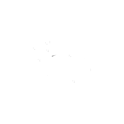 CC1=CCN(C(=O)c2ccncc2Cl)C[C@H]1c1cc(C(F)F)nc2ncnn12